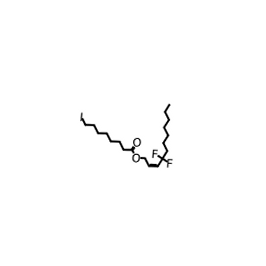 CCCCCCCC(F)(F)/C=C\COC(=O)CCCCCCCI